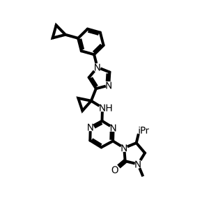 CC(C)C1CN(C)C(=O)N1c1ccnc(NC2(c3cn(-c4cccc(C5CC5)c4)cn3)CC2)n1